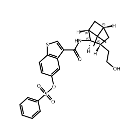 CC1(C)[C@H]2C[C@H](CCO)[C@@H](NC(=O)c3csc4ccc(OS(=O)(=O)c5ccccc5)cc34)[C@@H]1C2